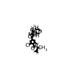 [2H]C1([2H])COCC([2H])([2H])N1C(=O)c1cc(-c2cc(Cl)c3c(c2)CN(C(C)C2CC2)C3=O)on1